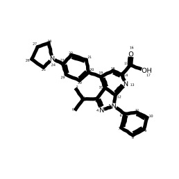 CC(C)c1nn(-c2ccccc2)c2nc(C(=O)O)cc(-c3ccc(N4CCCC4)cc3)c12